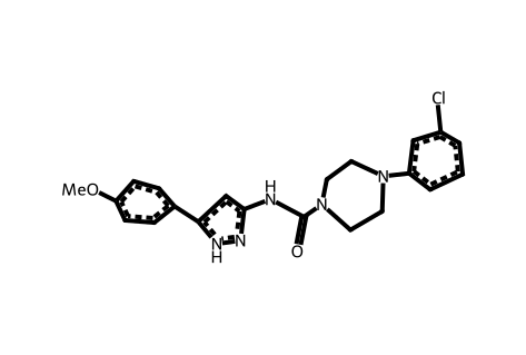 COc1ccc(-c2cc(NC(=O)N3CCN(c4cccc(Cl)c4)CC3)n[nH]2)cc1